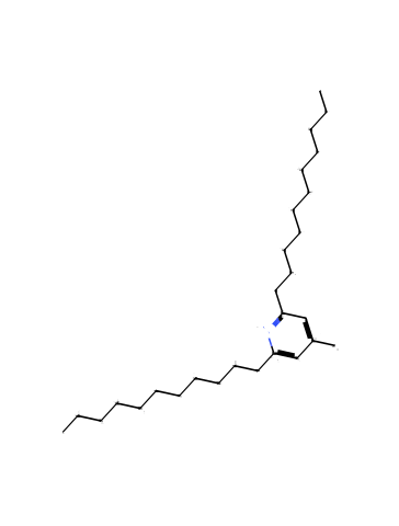 CCCCCCCCCCCc1cc(C)cc(CCCCCCCCCCC)n1